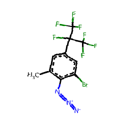 Cc1cc(C(F)(C(F)(F)F)C(F)(F)F)cc(Br)c1N=[N+]=[N-]